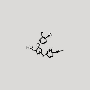 CC#Cc1ccc(SN2CC(CO)[C@@H](Oc3ccc(C#N)c(F)c3)C2)cn1